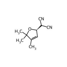 CC1=C[C@H](C(C#N)C#N)OC1(C)C